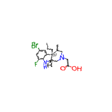 C=C1CN(CC(=O)O)C[C@@H]2Nc3c(F)cc(Br)cc3[C@]12CCC